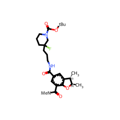 CNC(=O)c1cc(C(=O)NCCCC2(F)CCCN(C(=O)OC(C)(C)C)C2)cc2c1O[C@H](C)[C@H]2C